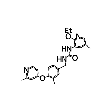 CCOc1ncc(C)cc1NC(=O)NCc1ccc(Oc2ccnc(C)c2)c(C)c1